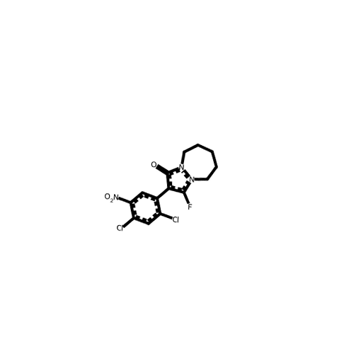 O=c1c(-c2cc([N+](=O)[O-])c(Cl)cc2Cl)c(F)n2n1CCCCC2